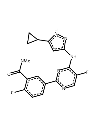 CNC(=O)c1cc(-c2ncc(F)c(Nc3cc(C4CC4)[nH]n3)n2)ccc1Cl